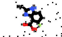 Cc1nc2c(C(=O)O)c(F)ccc2[nH]1